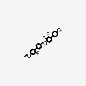 CCOc1ccc(-c2ccc(COc3ccc(C4CCC(OC)CC4)c(F)c3F)cc2)c(F)c1